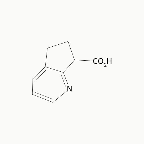 O=C(O)C1CCc2cccnc21